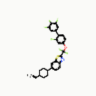 C=CC1CCC(c2ccc3nc(C(F)(F)Oc4ccc(-c5cc(F)c(F)c(F)c5)c(F)c4)sc3c2)CC1